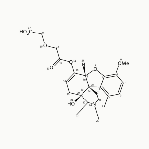 COc1ccc(C)c2c1O[C@H]1C(OC(=O)COCC(=O)O)=CC[C@@]3(O)C(C)N(C)CC[C@]213